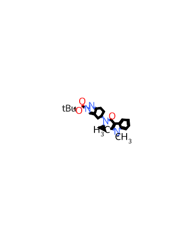 Cc1c(C(=O)N(C2CC2)C2CCc3nn(C(=O)OC(C)(C)C)cc3C2)c2ccccc2n1C